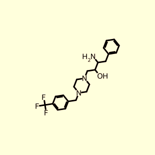 NC(Cc1ccccc1)C(O)CN1CCN(Cc2ccc(C(F)(F)F)cc2)CC1